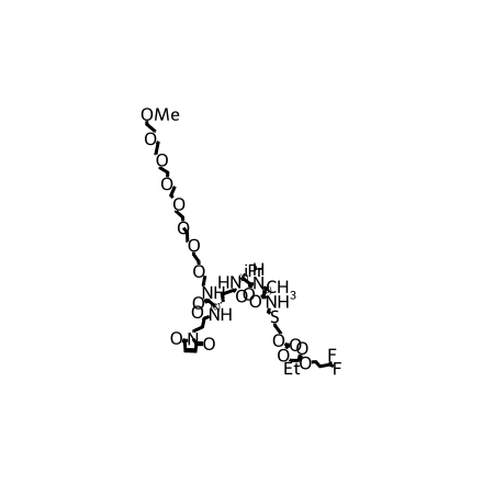 CCC(OC(=O)OCCSCNC(=O)[C@H](C)NC(=O)[C@@H](NC(=O)CC[C@H](NC(=O)CCN1C(=O)C=CC1=O)C(=O)NCCOCCOCCOCCOCCOCCOCCOCCOC)C(C)C)C(=O)OCCC(F)F